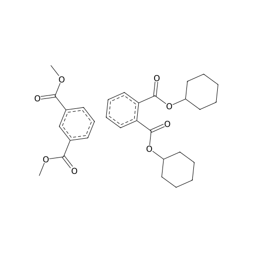 COC(=O)c1cccc(C(=O)OC)c1.O=C(OC1CCCCC1)c1ccccc1C(=O)OC1CCCCC1